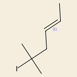 C/C=C/CC(C)(C)I